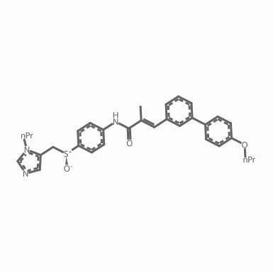 CCCOc1ccc(-c2cccc(/C=C(\C)C(=O)Nc3ccc([S@@+]([O-])Cc4cncn4CCC)cc3)c2)cc1